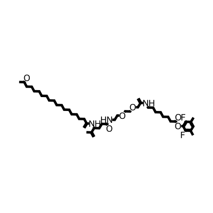 C=C(COCCOCCNC(=O)CCC(NC(=C)CCCCCCCCCCCCCCCCC(C)=O)C(=C)C)NCCCCCCCC(=O)Oc1c(F)c(C)cc(C)c1F